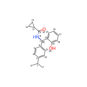 CC(C)c1ccc([C@@H](NC(=O)C2CC2)c2ccccc2O)cc1